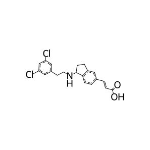 O=C(O)/C=C/c1ccc2c(c1)CCC2NCCc1cc(Cl)cc(Cl)c1